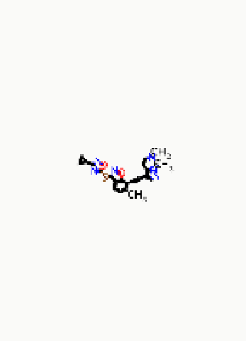 C=N/C=C\c1c(C#Cc2c(C)ccc3c(Sc4nc(C5CC5)no4)noc23)cnn1C